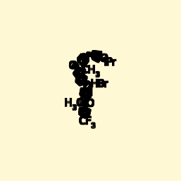 Br.CC(C)Oc1ccc(CN2CCN(C(=O)c3cc4ccc(Oc5ccc(N(C)C(=O)c6ccc(C(F)(F)F)cc6)cn5)cc4n3C)CC2)cc1